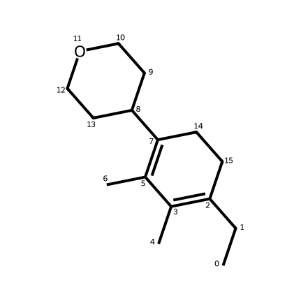 CCC1=C(C)C(C)=C(C2CCOCC2)CC1